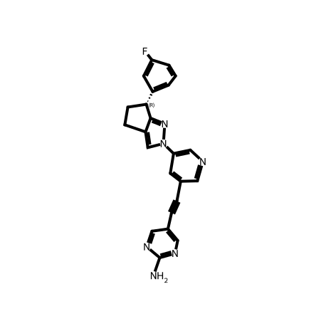 Nc1ncc(C#Cc2cncc(-n3cc4c(n3)[C@@H](c3cccc(F)c3)CC4)c2)cn1